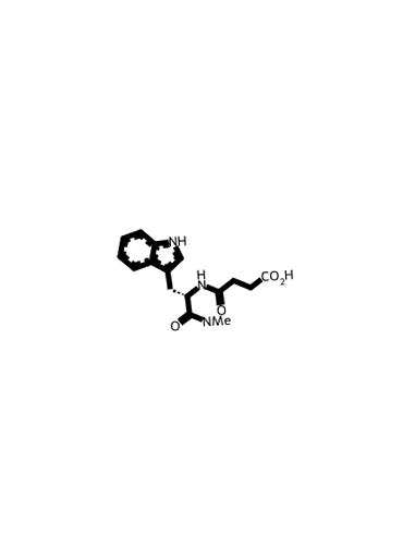 CNC(=O)[C@H](Cc1c[nH]c2ccccc12)NC(=O)CCC(=O)O